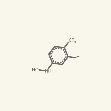 ONc1ccc(C(F)(F)F)c(F)c1